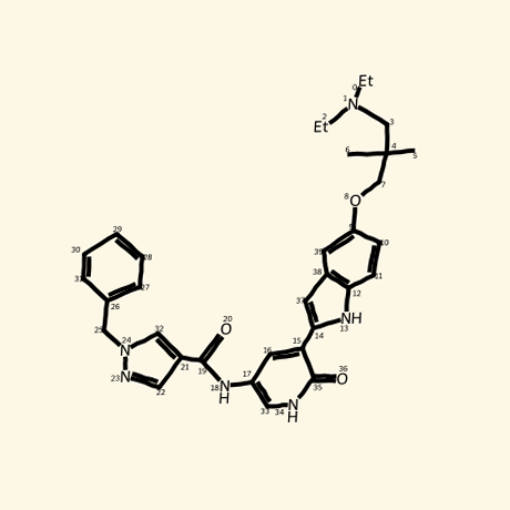 CCN(CC)CC(C)(C)COc1ccc2[nH]c(-c3cc(NC(=O)c4cnn(Cc5ccccc5)c4)c[nH]c3=O)cc2c1